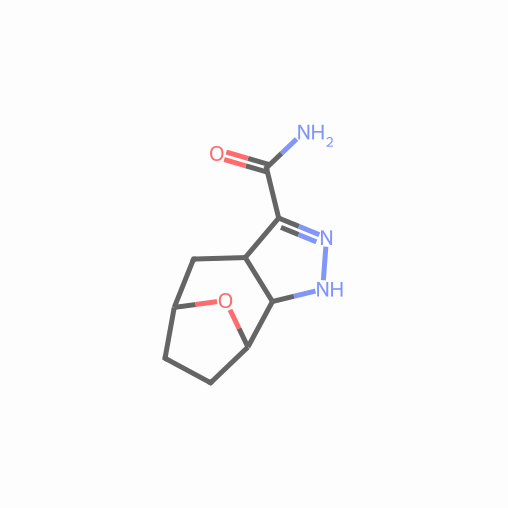 NC(=O)C1=NNC2C3CCC(CC12)O3